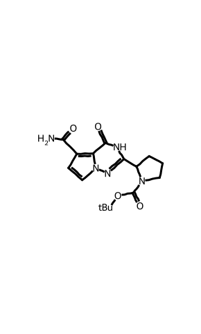 CC(C)(C)OC(=O)N1CCCC1c1nn2ccc(C(N)=O)c2c(=O)[nH]1